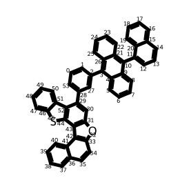 c1cc(-c2c3ccccc3c(-c3cccc4ccccc34)c3ccccc23)cc(-c2cc3oc4ccc5ccccc5c4c3c3sc4ccccc4c23)c1